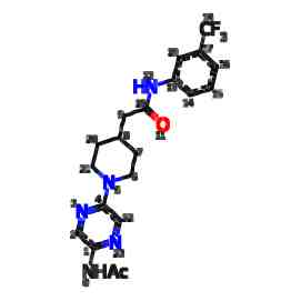 CC(=O)Nc1cnc(N2CCC(CC(=O)Nc3cccc(C(F)(F)F)c3)CC2)cn1